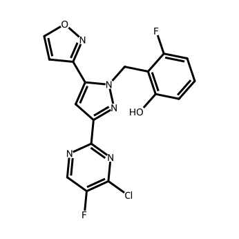 Oc1cccc(F)c1Cn1nc(-c2ncc(F)c(Cl)n2)cc1-c1ccon1